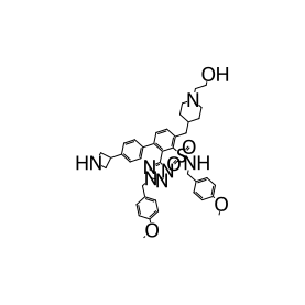 COc1ccc(CNS(=O)(=O)c2c(CC3CCN(CCO)CC3)ccc(-c3ccc(C4CNC4)cc3)c2-c2nnn(Cc3ccc(OC)cc3)n2)cc1